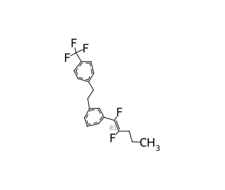 CCC/C(F)=C(\F)c1cccc(CCc2ccc(C(F)(F)F)cc2)c1